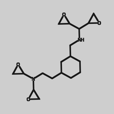 C1CC(CCN(C2CO2)C2CO2)CC(CNC(C2CO2)C2CO2)C1